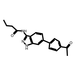 CCCC(=O)Nc1n[nH]c2cc(-c3ccc(C(C)=O)cc3)ccc12